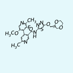 COc1cnc(C)c(F)c1-c1cc(C)ncc1C(=O)Nc1nnc(OC[C@@H]2COCCO2)s1